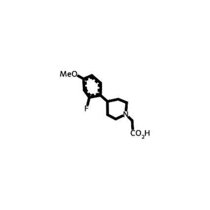 COc1ccc(C2CCN(CC(=O)O)CC2)c(F)c1